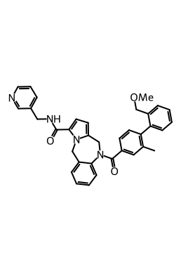 COCc1ccccc1-c1ccc(C(=O)N2Cc3ccc(C(=O)NCc4cccnc4)n3Cc3ccccc32)cc1C